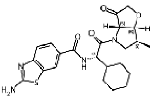 C[C@H]1CN(C(=O)[C@@H](NC(=O)c2ccc3nc(N)sc3c2)C2CCCCC2)[C@@H]2C(=O)CO[C@@H]21